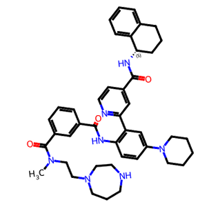 CN(CCN1CCCNCC1)C(=O)c1cccc(C(=O)Nc2ccc(N3CCCCC3)cc2-c2cc(C(=O)N[C@H]3CCCc4ccccc43)ccn2)c1